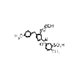 Cc1ccc(Cc2ccc(S(=O)(=O)c3ccc(C)c(S(=O)(=O)O)c3)cc2SOOO)cc1